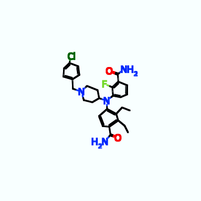 CCc1c(C(N)=O)ccc(N(c2cccc(C(N)=O)c2F)C2CCN(Cc3ccc(Cl)cc3)CC2)c1CC